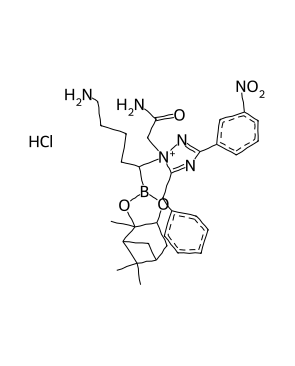 CC1(C)C2CC3OB(C(CCCCN)[N+]4(CC(N)=O)N=C(c5cccc([N+](=O)[O-])c5)N=C4Cc4ccccc4)OC3(C)C1C2.Cl